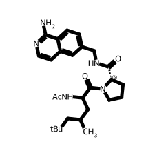 CC(=O)NC(CC(C)CC(C)(C)C)C(=O)N1CCC[C@H]1C(=O)NCc1ccc2c(N)nccc2c1